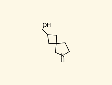 OCC1CC2(CCNC2)C1